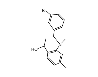 Cc1ccc(C(C)O)c(N(C)Cc2cccc(Br)c2)c1